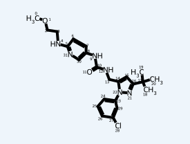 COCCNc1ccc(NC(=O)NCc2cc(C(C)(C)C)nn2-c2cccc(Cl)c2)cn1